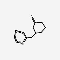 O=C1CCCC(Cc2ccccn2)C1